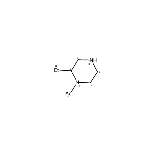 CCC1CNCCN1C(C)=O